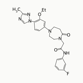 CCOc1cc(N2CCC(=O)N(CC(=O)Nc3cccc(F)c3)CC2)ccc1-n1cnc(C)n1